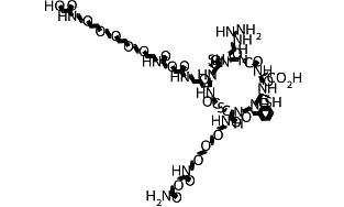 N=C(N)NCCC[C@@H]1NC(=O)[C@H](CS)NC(=O)[C@H](CCCCNC(=O)COCC(=O)NCCOCCOCCOCCOCCOCCNC(=O)CO)NC(=O)CSCC(C(=O)NCCOCCOCCOCCNC(=O)COCC(N)=O)NC(=O)[C@H](Cc2ccccc2)NC(=O)[C@H](CS)NC(=O)[C@H](CC(=O)O)NC(=O)CNC1=O